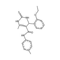 CCOc1ccccc1C1NC(=S)NC(C)=C1C(=O)Nc1ccc(C)cc1